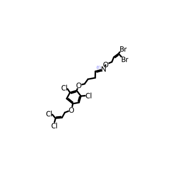 ClC(Cl)=CCOc1cc(Cl)c(OCCC/C=N/OCC=C(Br)Br)c(Cl)c1